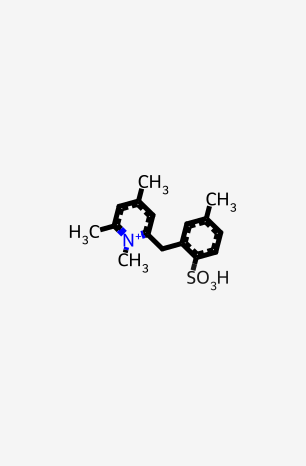 Cc1ccc(S(=O)(=O)O)c(Cc2cc(C)cc(C)[n+]2C)c1